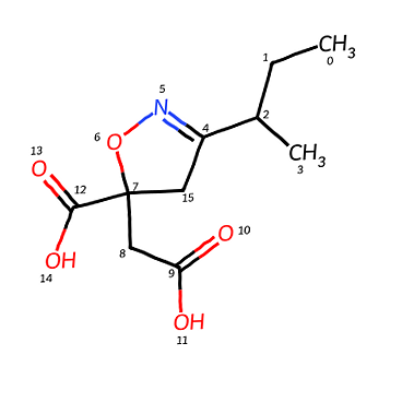 CCC(C)C1=NOC(CC(=O)O)(C(=O)O)C1